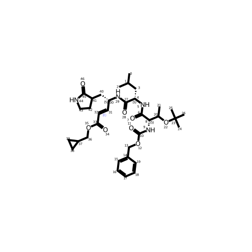 CC(C)C[C@H](NC(=O)[C@@H](NC(=O)OCc1ccccc1)C(C)OC(C)(C)C)C(=O)N[C@H](/C=C/C(=O)OCC1CC1)CC1CCNC1=O